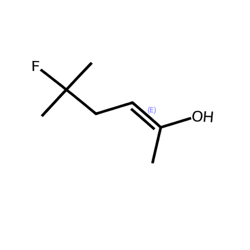 C/C(O)=C\CC(C)(C)F